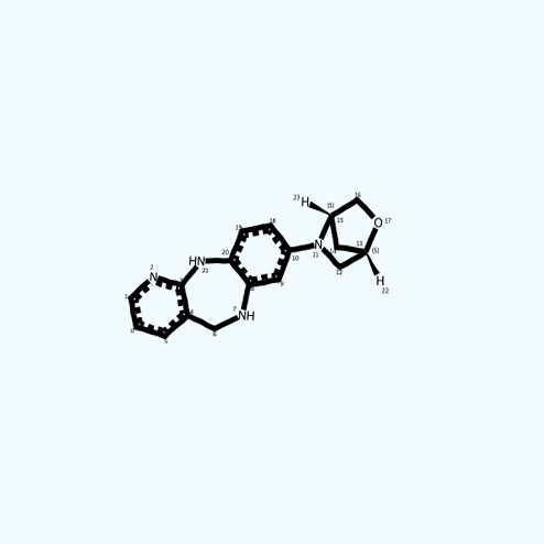 c1cnc2c(c1)CNc1cc(N3C[C@@H]4C[C@H]3CO4)ccc1N2